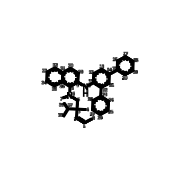 C/C=C\C(C)(CN(C)c1c(Nc2ccc(-c3ccccc3)cc2-c2ccccc2)ccc2ccccc12)C(C)C